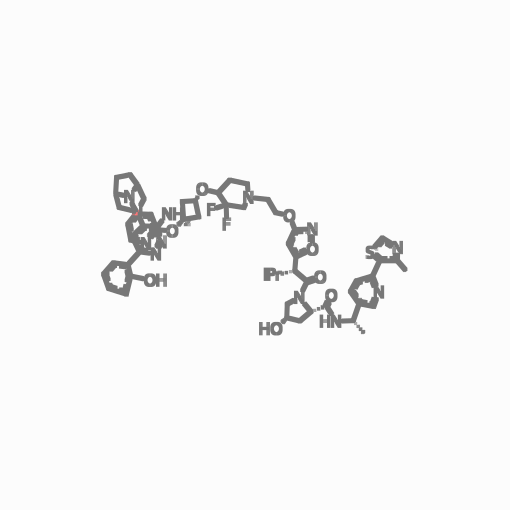 Cc1ncsc1-c1ccc([C@H](C)NC(=O)[C@@H]2C[C@@H](O)CN2C(=O)[C@@H](c2cc(OCCN3CCC(O[C@H]4C[C@H](Oc5cc(N6C7CCC6CN(c6cc(-c8ccccc8O)nnc6N)C7)ccn5)C4)C(F)(F)C3)no2)C(C)C)cn1